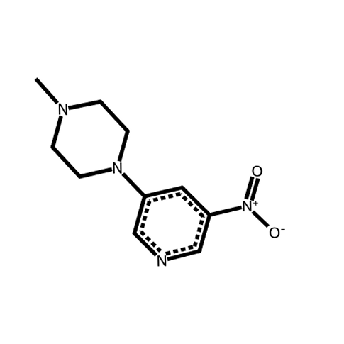 CN1CCN(c2cncc([N+](=O)[O-])c2)CC1